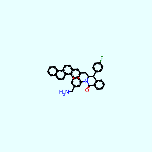 NCc1cccc(N2C(=O)c3ccccc3C(c3ccc(F)cc3)C2Cc2ccc3c(ccc4c5ccccc5ccc34)c2)c1